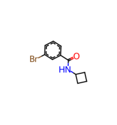 O=C(NC1CCC1)c1cccc(Br)c1